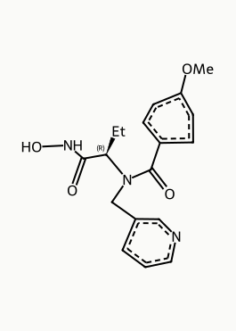 CC[C@H](C(=O)NO)N(Cc1cccnc1)C(=O)c1ccc(OC)cc1